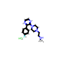 CNCCN1CCN(c2nccnc2-c2ccc(F)cc2)CC1.Cl